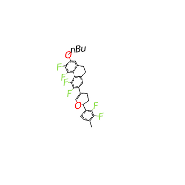 CCCCOc1cc2c(c(F)c1F)-c1c(cc(C3=COC(c4ccc(C)c(F)c4F)CC3)c(F)c1F)CC2